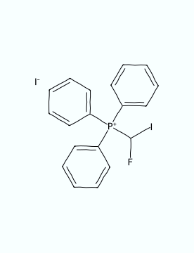 FC(I)[P+](c1ccccc1)(c1ccccc1)c1ccccc1.[I-]